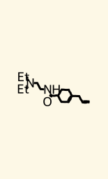 C=CCC1=CCC(C(=O)NCCN(CC)CC)CC1